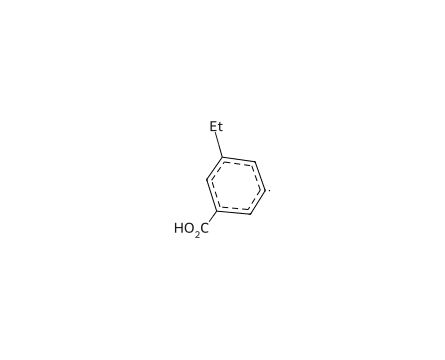 CCc1c[c]cc(C(=O)O)c1